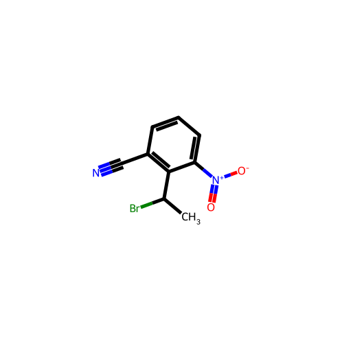 CC(Br)c1c(C#N)cccc1[N+](=O)[O-]